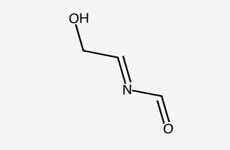 O=CN=CCO